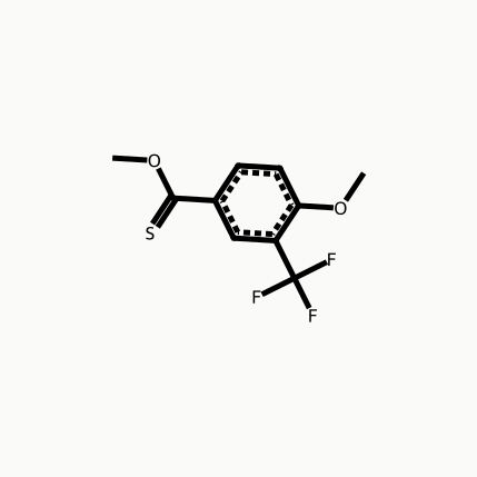 COC(=S)c1ccc(OC)c(C(F)(F)F)c1